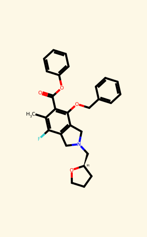 Cc1c(F)c2c(c(OCc3ccccc3)c1C(=O)Oc1ccccc1)CN(C[C@H]1CCCO1)C2